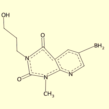 Bc1cnc2c(c1)c(=O)n(CCCO)c(=O)n2C